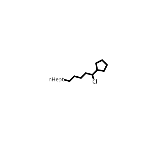 CCCCCCCCCCCC(Cl)C1CCCC1